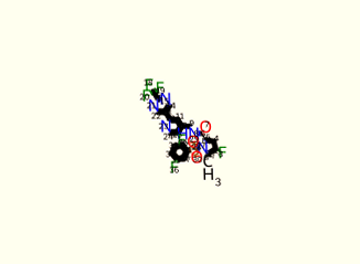 C[C@H]1[C@H](F)C[C@@H](C(=O)NCc2cc(-c3cnc(C(F)(F)F)nc3)ncc2F)N1S(=O)(=O)c1cccc(F)c1